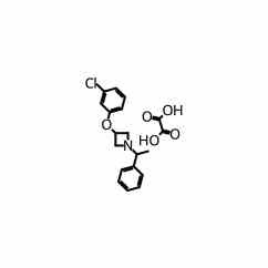 CC(c1ccccc1)N1CC(Oc2cccc(Cl)c2)C1.O=C(O)C(=O)O